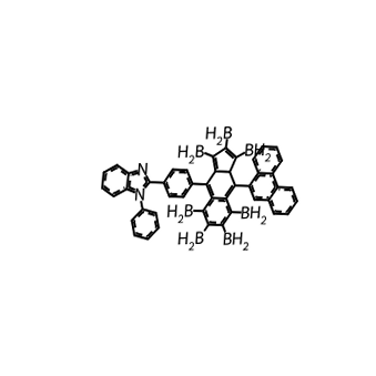 BC1=C(B)C2C(=C1B)C(c1ccc(-c3nc4ccccc4n3-c3ccccc3)cc1)=c1c(B)c(B)c(B)c(B)c1=C2c1cc2ccccc2c2ccccc12